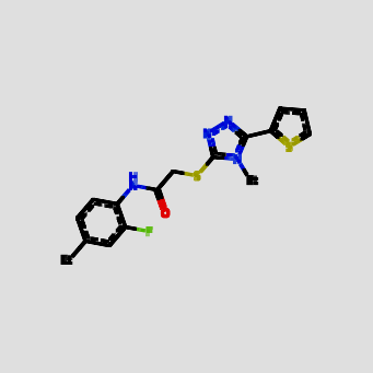 CCc1ccc(NC(=O)CSc2nnc(-c3cccs3)n2CC)c(F)c1